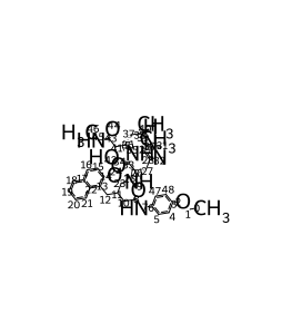 CCOc1ccc(NC(=O)CC(Cc2cccc3ccccc23)C(=O)N[C@@H](Cc2c[nH]cn2)C(=O)N[C@@H](CC(C)C)C(O)C(=O)NC)cc1